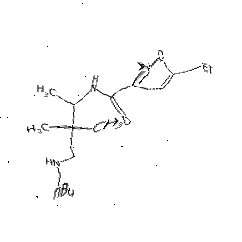 CCCCNCC(C)(C)C(C)NC(=O)c1cc(CC)on1